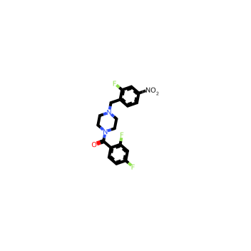 O=C(c1ccc(F)cc1F)N1CCN(Cc2ccc([N+](=O)[O-])cc2F)CC1